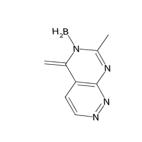 BN1C(=C)c2ccnnc2N=C1C